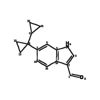 O=Cc1c[nH]c2cc(C3(C4CC4)CC3)ccc12